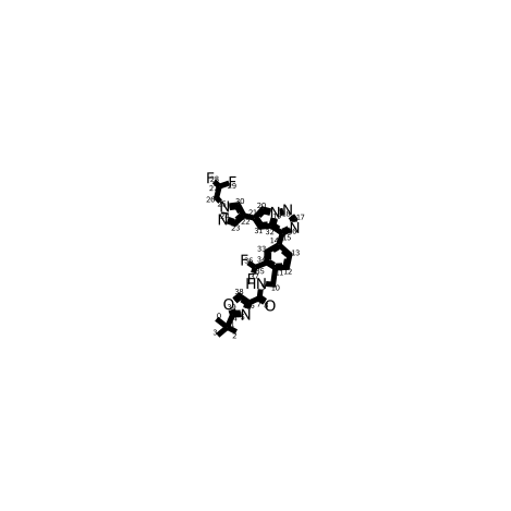 CC(C)(C)c1nc(C(=O)NCc2ccc(-c3ncnn4cc(-c5cnn(CC(F)F)c5)cc34)cc2C(F)F)co1